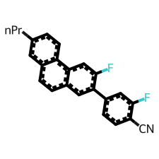 CCCc1ccc2c(ccc3cc(-c4ccc(C#N)c(F)c4)c(F)cc32)c1